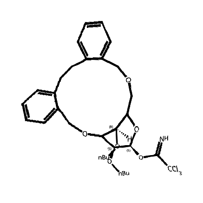 CCCCO[C@@H]1C2COCc3ccccc3CCc3ccccc3COC1[C@H](OCCCC)[C@H](OC(=N)C(Cl)(Cl)Cl)O2